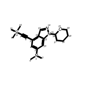 CN(C)c1cc(C#C[Si](C)(C)C)c2cnn(C3CCCCO3)c2c1